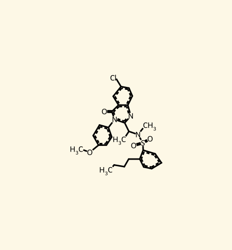 CCCCc1ccccc1S(=O)(=O)N(C)C(C)c1nc2ccc(Cl)cc2c(=O)n1-c1ccc(OC)cc1